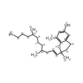 Cc1cc(O)cc2c1OC(C)(C=CCC(C)CCCC(C)CCCC(C)C)CC2